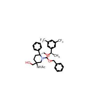 CC(=O)NC1(CO)CC[C@@](CO[C@H](C)c2cc(C(F)(F)F)cc(C(F)(F)F)c2)(c2ccccc2)N(C(=O)OCc2ccccc2)C1